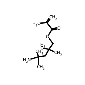 C=C(C)C(=O)OCC(C)(C)CC(C)(C)N